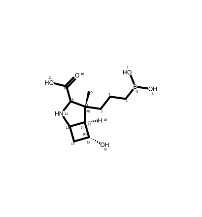 C[C@]1(CCCB(O)O)C(C(=O)O)NC2C[C@@H](O)[C@@H]21